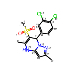 CC1=C(S(=O)(=O)C(C)C)C(c2ccc(Cl)c(Cl)c2)n2nc(C)cc2N1